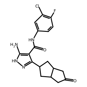 Nc1[nH]nc(C2CC3CC(=O)CC3C2)c1C(=O)Nc1ccc(F)c(Cl)c1